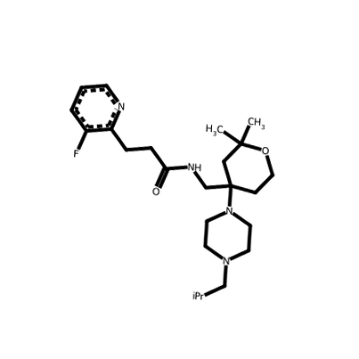 CC(C)CN1CCN(C2(CNC(=O)CCc3ncccc3F)CCOC(C)(C)C2)CC1